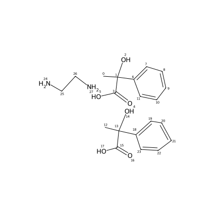 CC(O)(C(=O)O)c1ccccc1.CC(O)(C(=O)O)c1ccccc1.NCCN